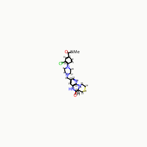 CNC(=O)c1ccc(N2CCN(Cc3cnc4c(c3)NC(=O)[C@@H]3CSCCN43)CC2)c(Cl)c1